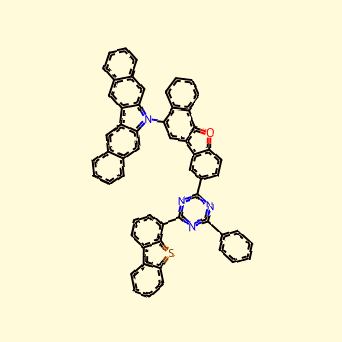 c1ccc(-c2nc(-c3ccc4oc5c6ccccc6c(-n6c7cc8ccccc8cc7c7cc8ccccc8cc76)cc5c4c3)nc(-c3cccc4c3sc3ccccc34)n2)cc1